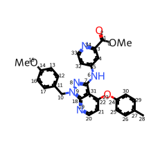 COC(=O)c1cc(Nc2nn(Cc3ccc(OC)cc3)c3nccc(Oc4ccc(C)cc4)c23)ccn1